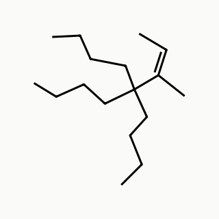 CC=C(C)C(CCCC)(CCCC)CCCC